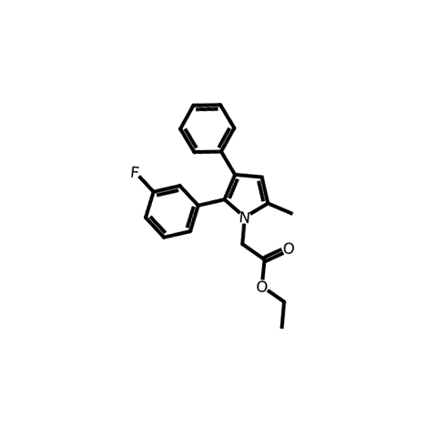 CCOC(=O)Cn1c(C)cc(-c2ccccc2)c1-c1cccc(F)c1